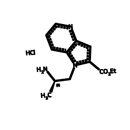 CCOC(=O)c1cc2ncccc2n1C[C@@H](C)N.Cl